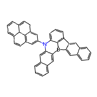 C1=CC2=CCc3cc(N4c5cc6ccccc6cc5B5c6cc7ccccc7cc6-c6cccc4c65)cc4c3C2C(=C1)C=C4